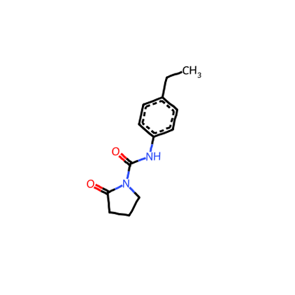 CCc1ccc(NC(=O)N2CCCC2=O)cc1